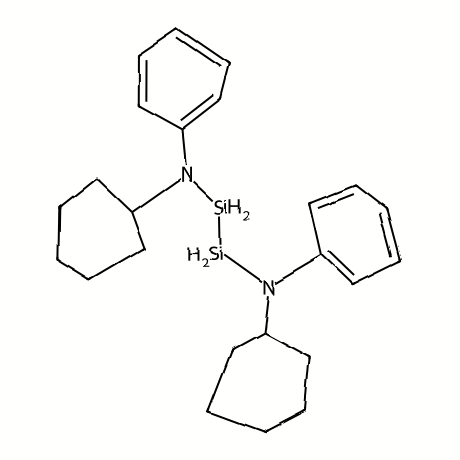 c1ccc(N([SiH2][SiH2]N(c2ccccc2)C2CCCCC2)C2CCCCC2)cc1